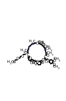 COCCOCCOCCO[C@H]1C[C@@H]2CC[C@@H](C)[C@@](O)(O2)C(=O)C(=O)N2CCCC[C@H]2C(=O)O[C@H]([C@H](C)C[C@@H]2CC[C@@H](OC)[C@H](OC)C2)CC(=O)[C@H](C)/C=C(\C)[C@@H](O)[C@@H](OC)C(=O)[C@H](C)C[C@H](C)/C=C/C=C/C=C/1C